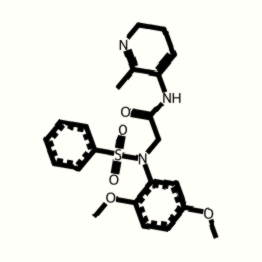 COc1ccc(OC)c(N(CC(=O)NC2=CCCN=C2C)S(=O)(=O)c2ccccc2)c1